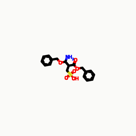 NC(OCc1ccccc1)C(CS(=O)(=O)O)C(=O)OCc1ccccc1